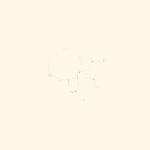 O=C(O)CN1NNNCCCCCCCC1(CC(=O)O)CC(=O)O